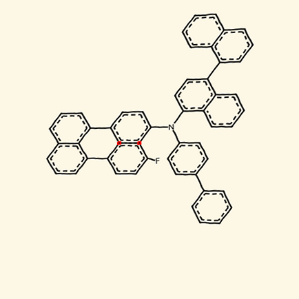 Fc1ccc(-c2cccc3cccc(-c4ccc(N(c5ccc(-c6ccccc6)cc5)c5ccc(-c6cccc7ccccc67)c6ccccc56)cc4)c23)cc1